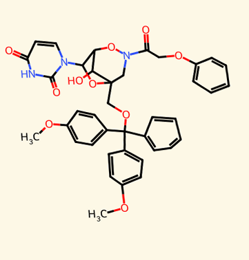 COc1ccc(C(OCC23CN(C(=O)COc4ccccc4)OC(C(n4ccc(=O)[nH]c4=O)O2)C3O)(c2ccccc2)c2ccc(OC)cc2)cc1